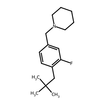 CC(C)(C)Cc1ccc(CN2CCCCC2)cc1F